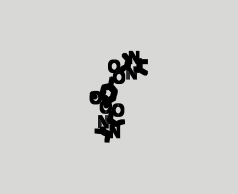 COc1cc(COC(=O)c2nc(C)c(C)nc2C)ccc1OC(=O)c1nc(C)c(C)nc1C